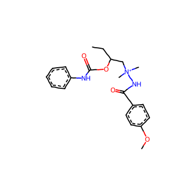 CCC(C[N+](C)(C)NC(=O)c1ccc(OC)cc1)OC(=O)Nc1ccccc1